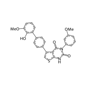 COc1cccc(-n2c(=O)[nH]c3scc(-c4ccc(-c5cccc(OC)c5O)cc4)c3c2=O)c1